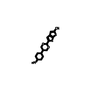 CCCC1CCC(C2COC(c3cc4cc(C#N)sc4s3)OC2)CC1